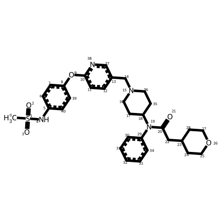 CS(=O)(=O)Nc1ccc(Oc2ccc(CN3CCC(N(C(=O)CC4CCOCC4)c4ccccc4)CC3)cn2)cc1